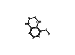 CCc1cccc2c1NCCN2